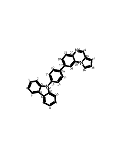 c1ccc2c(c1)c1ccccc1n2-c1ccc(-c2ccc3ncc4cccn4c3c2)cc1